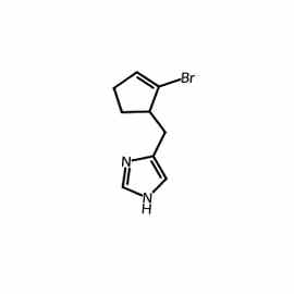 BrC1=CCCC1Cc1c[nH]cn1